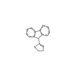 c1ccc2c(c1)-c1ccccc1C2C1=NCCS1